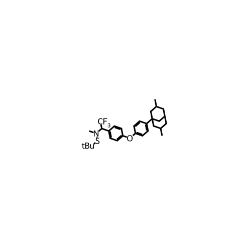 CC1CC2CC(C)CC(c3ccc(Oc4ccc(C(N(C)SC(C)(C)C)C(F)(F)F)cc4)cc3)(C1)C2